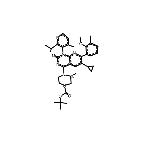 COc1c(C)cccc1-c1nc2c(cc1C1CC1)c(N1CCN(C(=O)OC(C)(C)C)C[C@@H]1C)nc(=O)n2-c1c(C)ccnc1C(C)C